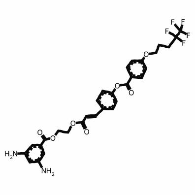 Nc1cc(N)cc(C(=O)OCCOC(=O)/C=C/c2ccc(OC(=O)c3ccc(OCCCC(F)(F)C(F)(F)F)cc3)cc2)c1